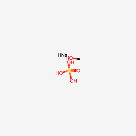 CO.O=P(O)(O)O.[NaH]